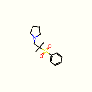 CC(C)(CN1CCCC1)S(=O)(=O)c1ccccc1